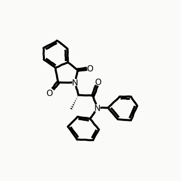 C[C@@H](C(=O)N(c1ccccc1)c1ccccc1)N1C(=O)c2ccccc2C1=O